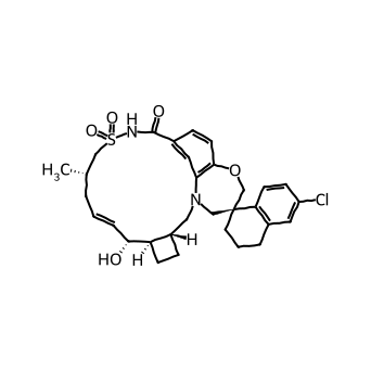 C[C@H]1C/C=C/[C@@H](O)[C@@H]2CC[C@H]2CN2C[C@@]3(CCCc4cc(Cl)ccc43)COc3ccc(cc32)C(=O)NS(=O)(=O)C1